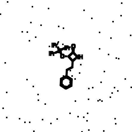 CC(C)[Si](O[C@@H]1C(=O)NC1CCc1ccccc1)(C(C)C)C(C)C